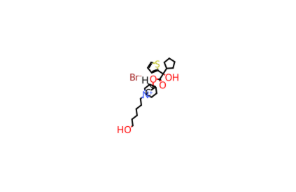 O=C(O[C@H]1C[N+]2(CCCCCCO)CCC1CC2)[C@](O)(c1cccs1)C1CCCC1.[Br-]